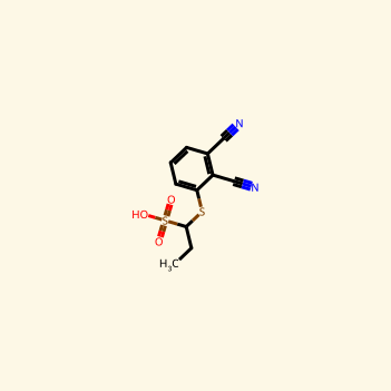 CCC(Sc1cccc(C#N)c1C#N)S(=O)(=O)O